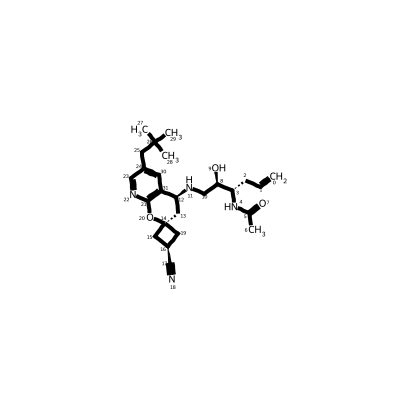 C=CC[C@H](NC(C)=O)[C@H](O)CN[C@H]1C[C@]2(C[C@H](C#N)C2)Oc2ncc(CC(C)(C)C)cc21